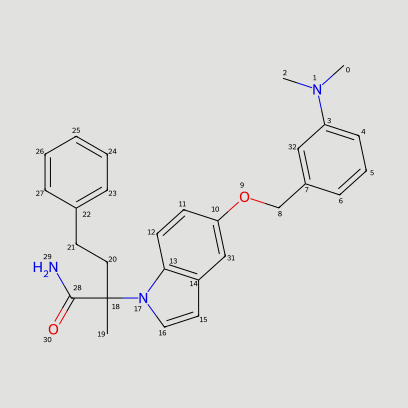 CN(C)c1cccc(COc2ccc3c(ccn3C(C)(CCc3ccccc3)C(N)=O)c2)c1